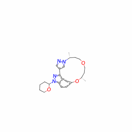 C[C@@H]1CCOCC[C@H](C)Oc2ccc3c(c2)c(nn3C2CCCCO2)-c2cnn1c2